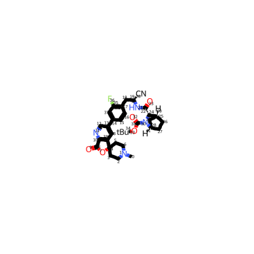 CN1CCC2(CC1)OC(=O)c1ncc(-c3ccc(C[C@@H](C#N)NC(=O)[C@@H]4[C@H]5CC[C@H](C5)N4C(=O)OC(C)(C)C)c(F)c3)cc12